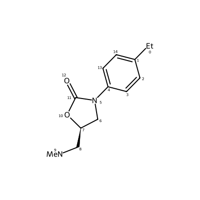 CCc1ccc(N2C[C@@H](CNC)OC2=O)cc1